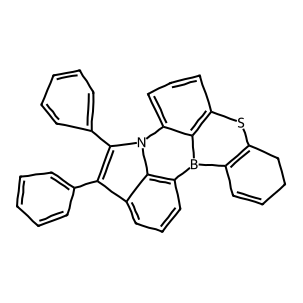 C1=CC2=C(CC1)Sc1cccc3c1B2c1cccc2c(-c4ccccc4)c(-c4ccccc4)n-3c12